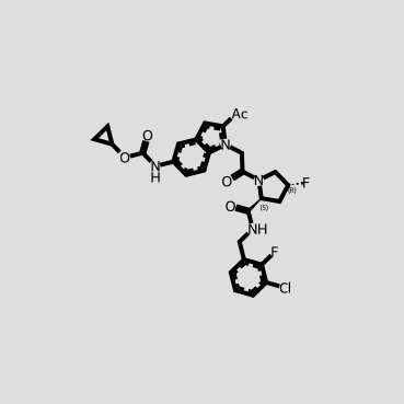 CC(=O)c1cc2cc(NC(=O)OC3CC3)ccc2n1CC(=O)N1C[C@H](F)C[C@H]1C(=O)NCc1cccc(Cl)c1F